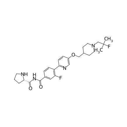 CC(C)(F)CN1CCC(COc2ccc(-c3ccc(C(=O)NC(=O)[C@@H]4CCCN4)cc3F)nc2)CC1